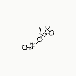 N#CCC1(N2CCC(CN[C@@H]3C[C@H]3c3ccccc3)CC2)CN(c2ncccc2C(F)(F)F)C1